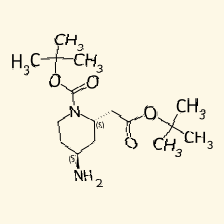 CC(C)(C)OC(=O)C[C@@H]1C[C@@H](N)CCN1C(=O)OC(C)(C)C